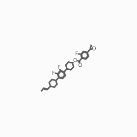 C/C=C/C1CCC(c2ccc(C3CCC(OC(=O)c4ccc(C5CO5)cc4F)CC3)c(F)c2F)CC1